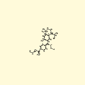 CCCN(c1ccc(C(=O)OCC)cc1)c1cc2c(cc1C)C(C)(C)CCN2C(C)C